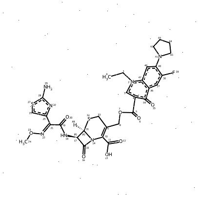 CCn1cc(C(=O)OCC2=C(C(=O)O)N3C(=O)[C@@H](NC(=O)C(=NOC)c4csc(N)n4)[C@H]3SC2)c(=O)c2cc(F)c(N3CCCC3)cc21